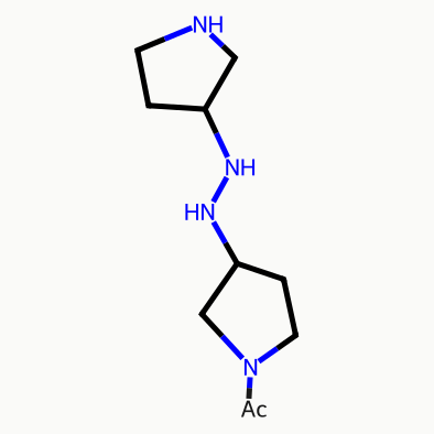 CC(=O)N1CCC(NNC2CCNC2)C1